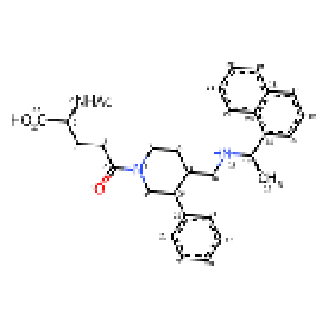 CC(=O)N[C@@H](CCC(=O)N1CCC(CN[C@H](C)c2cccc3ccccc23)C(c2ccccc2)C1)C(=O)O